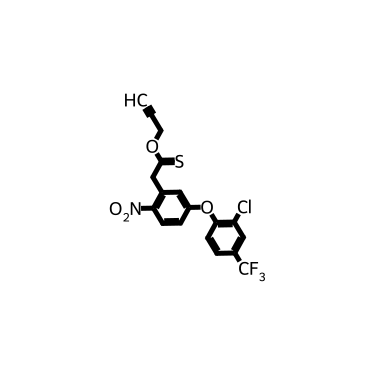 C#CCOC(=S)Cc1cc(Oc2ccc(C(F)(F)F)cc2Cl)ccc1[N+](=O)[O-]